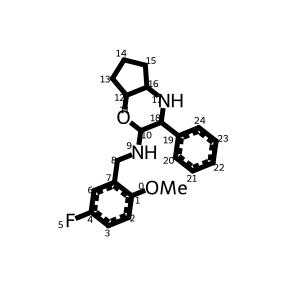 COc1ccc(F)cc1CNC1OC2CCCC2NC1c1ccccc1